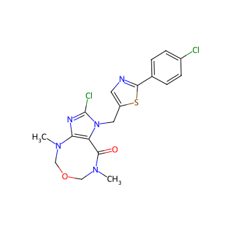 CN1COCN(C)c2nc(Cl)n(Cc3cnc(-c4ccc(Cl)cc4)s3)c2C1=O